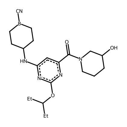 CCC(CC)Oc1nc(NC2CCB(C#N)CC2)cc(C(=O)N2CCCC(O)C2)n1